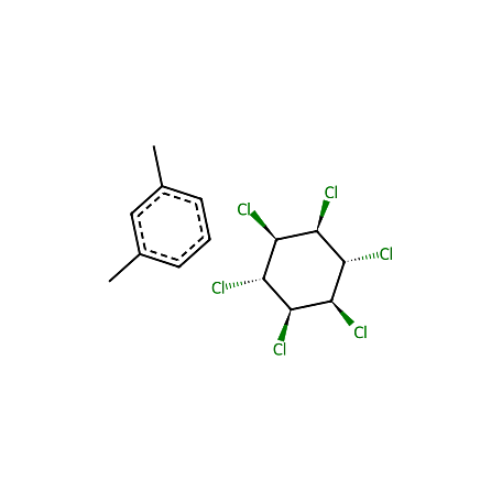 Cc1cccc(C)c1.Cl[C@H]1[C@H](Cl)[C@@H](Cl)[C@@H](Cl)[C@H](Cl)[C@H]1Cl